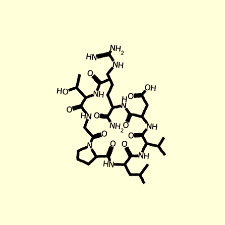 CC(=O)NC(C(=O)NCC(=O)N1CCCC1C(=O)NC(CC(C)C)C(=O)NC(C(=O)NC(CC(=O)O)C(=O)NC(CCCNC(=N)N)C(N)=O)C(C)C)C(C)O